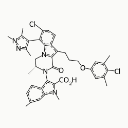 Cc1ccc2c(N3C(=O)c4c(CCCOc5cc(C)c(Cl)c(C)c5)c5ccc(Cl)c(-c6c(C)nn(C)c6C)c5n4C[C@H]3C)c(C(=O)O)n(C)c2c1